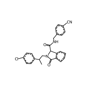 CC(CN1C(=O)c2ccccc2C1C(=O)NCc1ccc(C#N)cc1)c1ccc(Cl)cc1